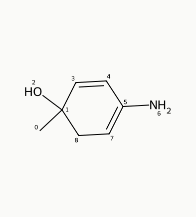 CC1(O)C=CC(N)=CC1